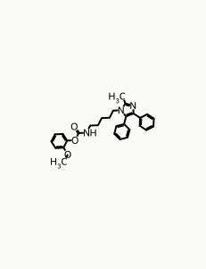 COc1ccccc1OC(=O)NCCCCCn1c(C)nc(-c2ccccc2)c1-c1ccccc1